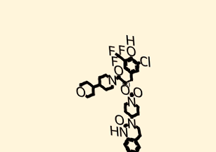 O=C(O[C@H](Cc1cc(Cl)c(O)c(C(F)(F)F)c1)C(=O)N1CCC(C2CCOCC2)CC1)N1CCC(N2CCc3ccccc3NC2=O)CC1